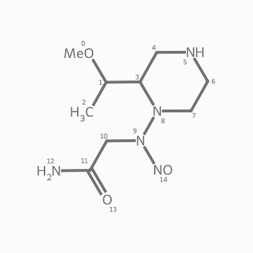 COC(C)C1CNCCN1N(CC(N)=O)N=O